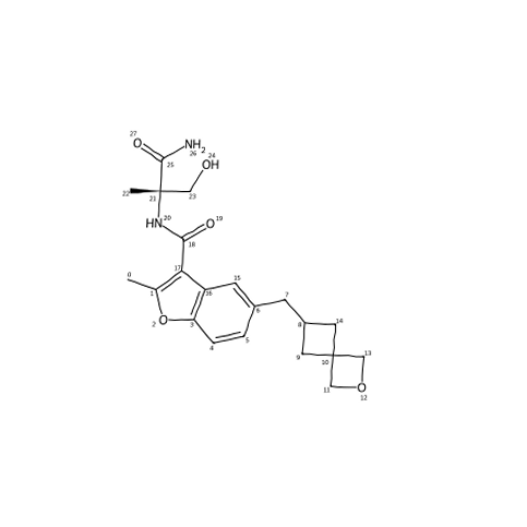 Cc1oc2ccc(CC3CC4(COC4)C3)cc2c1C(=O)N[C@@](C)(CO)C(N)=O